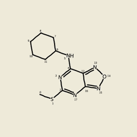 CSc1nc(NC2CCCCC2)c2nonc2n1